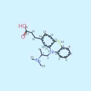 CC(CN1c2ccccc2Sc2ccc(CCC(=O)O)cc21)N(C)C